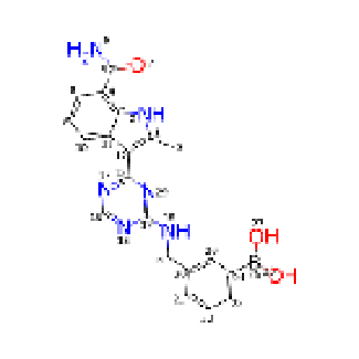 Cc1[nH]c2c(C(N)=O)cccc2c1-c1ncnc(NCc2cccc(B(O)O)c2)n1